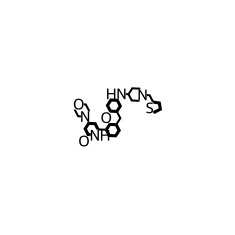 O=c1cc(N2CCOCC2)cc(-c2cccc3c2Oc2ccc(NC4CCN(Cc5cccs5)CC4)cc2C3)[nH]1